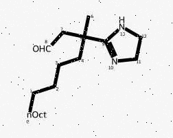 CCCCCCCCCCCCC(C)(CC=O)C1=NCCN1